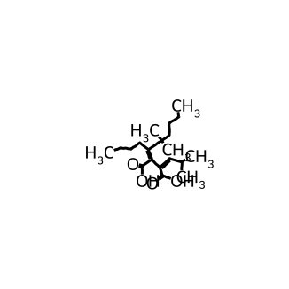 CCCCC(=C(C(=O)O)C(=CC(C)C)C(=O)O)C(C)(C)CCCC